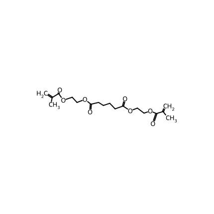 C=C(C)C(=O)OCCOC(=O)CCCCC(=O)OCCOC(=O)C(=C)C